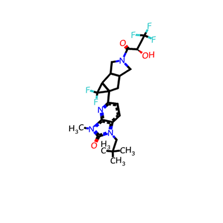 Cn1c(=O)n(CC(C)(C)C)c2ccc(C34CC5CN(C(=O)[C@H](O)C(F)(F)F)CC5C3C4(F)F)nc21